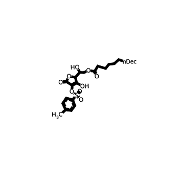 CCCCCCCCCCCCCCCC(=O)OCC(O)C1OC(=O)C(OS(=O)(=O)c2ccc(C)cc2)=C1O